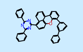 c1ccc(-c2cccc(-c3cccc4c3Oc3ccc(-c5nc(-c6ccccc6)nc(-c6ccccc6)n5)c5cccc-4c35)c2)cc1